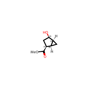 COC(=O)[C@H]1C[C@@H](O)[C@H]2C[C@H]21